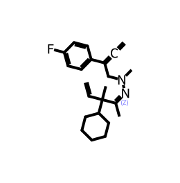 C=C=C(CN(C)/N=C(/C)C(C)(C=C)C1CCCCC1)c1ccc(F)cc1